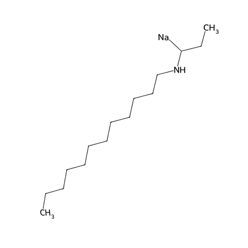 CCCCCCCCCCCCN[CH]([Na])CC